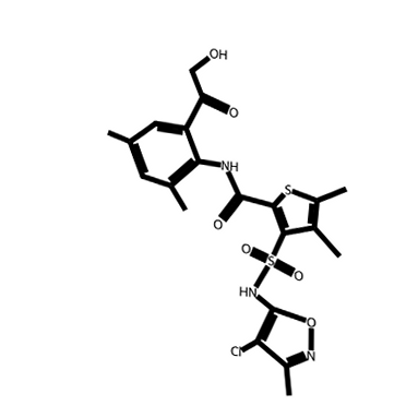 Cc1cc(C)c(NC(=O)c2sc(C)c(C)c2S(=O)(=O)Nc2onc(C)c2Cl)c(C(=O)CO)c1